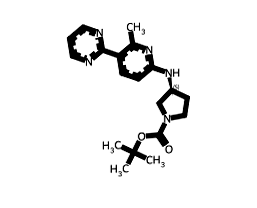 Cc1nc(N[C@H]2CCN(C(=O)OC(C)(C)C)C2)ccc1-c1ncccn1